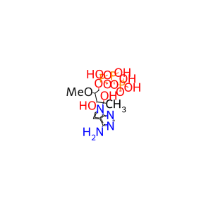 COC(COP(=O)(O)OP(O)OP(=O)(O)O)C(O)C(C)(O)n1ccc2c(N)ncnc21